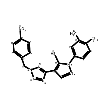 Cc1ccc(-n2ncc(-c3nnn(Cc4ccc([N+](=O)[O-])cc4)n3)c2S)cc1C